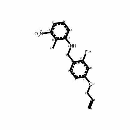 C=CCOc1ccc(CNc2cccc([N+](=O)[O-])c2C)c(F)c1